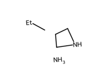 C1CNC1.CCC.N